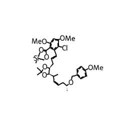 COc1ccc(CO[C@H](C)C/C=C\C(C)[C@H]2OC(C)(C)O[C@H]2C/C=C/c2c(Cl)c(OC)cc(OC)c2C(=O)OC[Si](C)(C)C)cc1